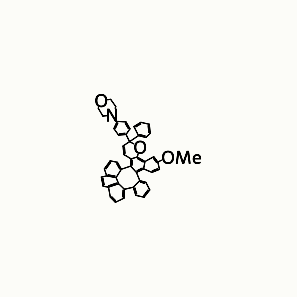 COc1ccc2c(c1)c1c(c3c4cccc5ccc6cccc(c7ccccc7c23)c6c54)C=CC(c2ccccc2)(c2ccc(N3CCOCC3)cc2)O1